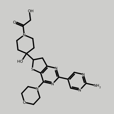 Nc1ncc(-c2nc3c(c(N4CCOCC4)n2)SC(C2(O)CCN(C(=O)CO)CC2)C3)cn1